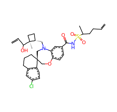 C=CCCC(C)S(=O)(=O)NC(=O)c1ccc2c(c1)N(C[C@H]1CC[C@]1(C)C(O)C=C)C[C@@]1(CCCc3cc(Cl)ccc31)CO2